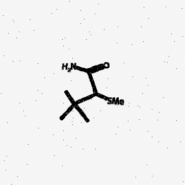 CSC(C(N)=O)C(C)(C)C